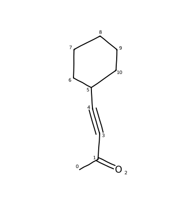 CC(=O)C#CC1CCCCC1